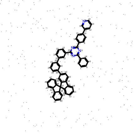 c1ccc(-c2nc(-c3ccc(-c4cccnc4)cc3)nc(-c3cccc(-c4cccc(-c5ccc6c(c5)C5(c7ccccc7-c7ccccc75)c5ccccc5-6)c4)c3)n2)cc1